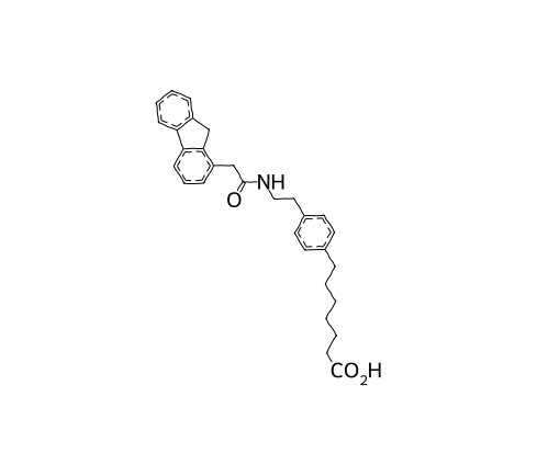 O=C(O)CCCCCCc1ccc(CCNC(=O)Cc2cccc3c2Cc2ccccc2-3)cc1